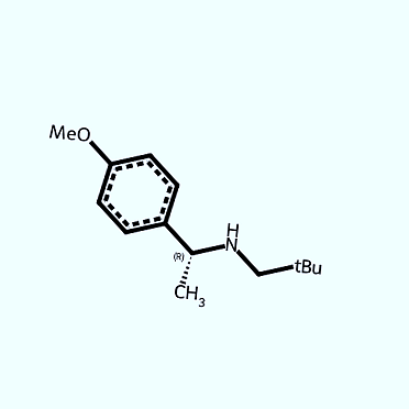 COc1ccc([C@@H](C)NCC(C)(C)C)cc1